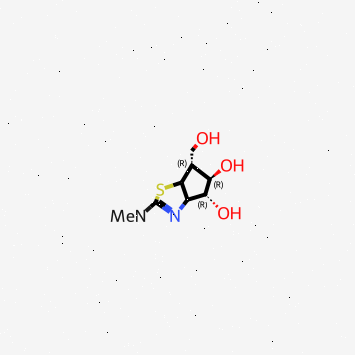 CNC1=NC2C(S1)[C@H](CO)[C@@H](O)[C@@H]2O